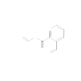 C=COC(=O)c1ncccc1C=C